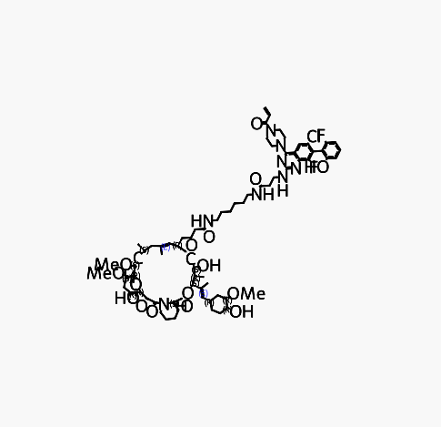 C=CC(=O)N1CCN(c2nc(NCCC(=O)NCCCCCCNC(=O)CCC[C@@H]3/C=C(\C)C[C@H](C)C[C@H](OC)[C@H]4O[C@@](O)(C(=O)C(=O)N5CCCC[C@H]5C(=O)O[C@H](/C(C)=C/[C@@H]5CC[C@@H](O)[C@H](OC)C5)[C@H](C)[C@@H](O)CC3=O)[C@H](C)C[C@@H]4OC)nc3c(F)c(-c4c(O)cccc4F)c(Cl)cc23)CC1